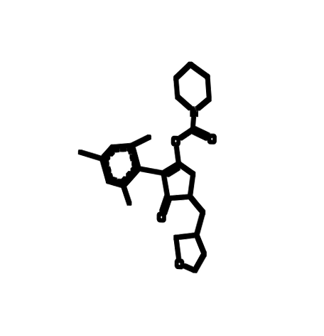 Cc1cc(C)c(C2=C(OC(=O)N3CCCCC3)CC(CC3CCOC3)C2=O)c(C)c1